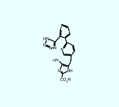 CCCc1nc(C(=O)O)[nH]c1Cc1ccc(-c2ccccc2-c2nnn[nH]2)nc1